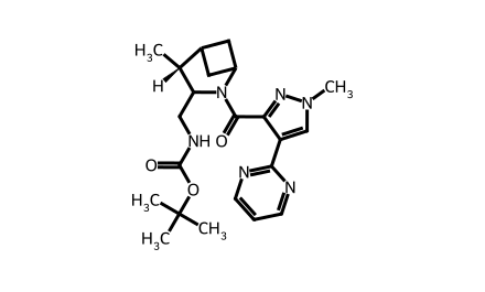 C[C@@H]1C2CC(C2)N(C(=O)c2nn(C)cc2-c2ncccn2)C1CNC(=O)OC(C)(C)C